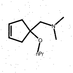 CCCOC1(CN(C)C)CC=CC1